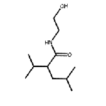 CC(C)CC(C(=O)NCCO)C(C)C